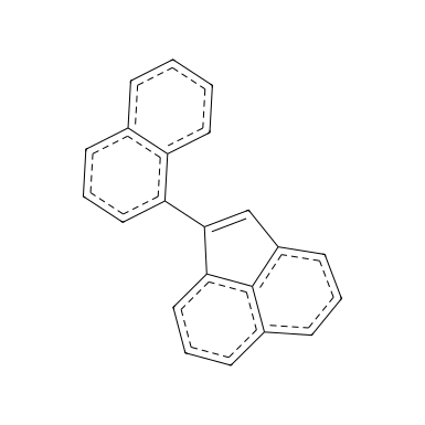 C1=C(c2cccc3ccccc23)c2cccc3cccc1c23